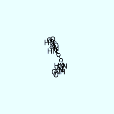 COC(=O)N[C@H](C(=O)N1CCC[C@H]1c1ncc(-c2ccc(-c3ccc(-c4cnc([C@@H]5CCCN5C(=O)[C@H](NC(=O)OC)C(C)C)[nH]4)cc3)cc2)[nH]1)C(C)C